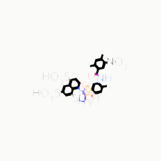 Cc1ccc(S(=O)(=O)Nc2ccc(S(=O)(=O)O)c3cc(S(=O)(=O)O)cc(S(=O)(=O)O)c23)cc1NC(=O)c1cc([N+](=O)[O-])c(C)cc1C